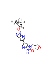 C[Si](C)(C)CCOCn1ncc2cc(-c3cnc4[nH]c(=O)n(CC5CCOCC5)c4c3)cnc21